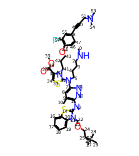 CNCCCCN(c1cc(C)c(/N=c2\sc3ccccc3n2COCC[Si](C)(C)C)nn1)C1SC=C(C(=O)OC)N1CCCOc1ccc(C#CCN(C)C)cc1F